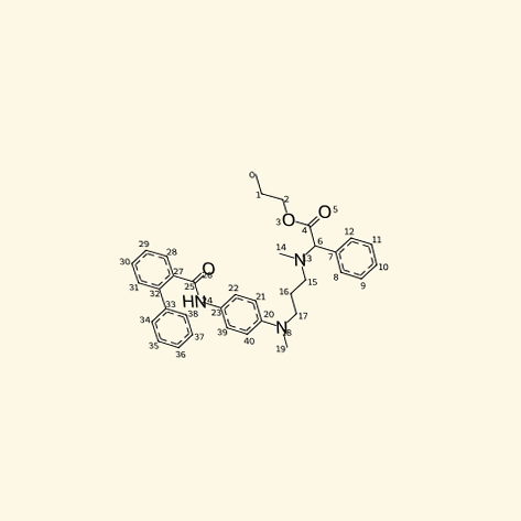 CCCOC(=O)C(c1ccccc1)N(C)CCCN(C)c1ccc(NC(=O)c2ccccc2-c2ccccc2)cc1